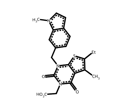 CCc1sc2c(c1C)c(=O)n(CC(=O)O)c(=O)n2Cc1ccc2ccn(C)c2c1